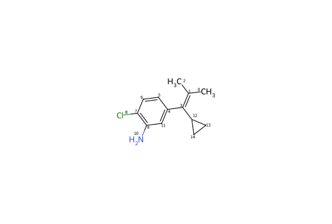 CC(C)=C(c1ccc(Cl)c(N)c1)C1CC1